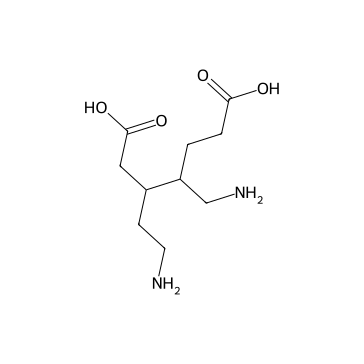 NCCC(CC(=O)O)C(CN)CCC(=O)O